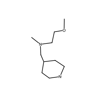 COCCN(C)CC1CC[N]CC1